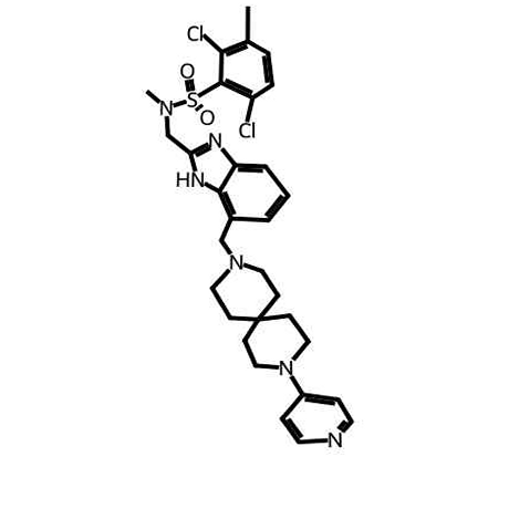 Cc1ccc(Cl)c(S(=O)(=O)N(C)Cc2nc3cccc(CN4CCC5(CC4)CCN(c4ccncc4)CC5)c3[nH]2)c1Cl